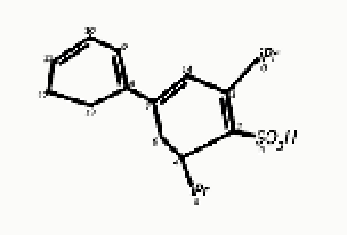 CC(C)C1=C(S(=O)(=O)O)C(C(C)C)CC(C2=CC=CCC2)=C1